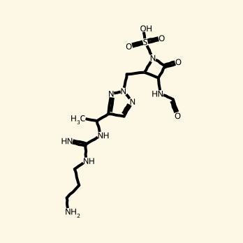 CC(NC(=N)NCCCN)c1cnn(CC2C(NC=O)C(=O)N2S(=O)(=O)O)n1